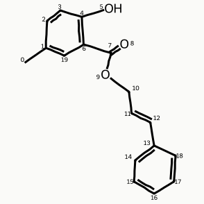 Cc1ccc(O)c(C(=O)OCC=Cc2ccccc2)c1